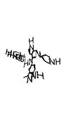 Cc1n[nH]c2ccc(NC3=CN(C4=CCNCC4)Cc4[nH]ccc43)cc12.Cl.Cl.Cl